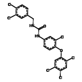 O=C(NCc1ccc(Cl)c(Cl)c1)Nc1ccc(Oc2cc(Cl)c(Cl)cc2Cl)c(Cl)c1